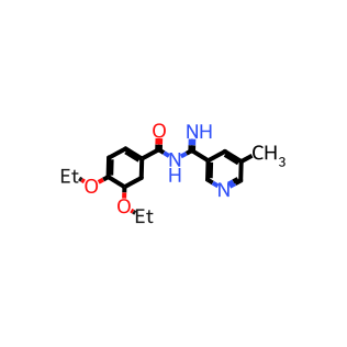 CCOC1=CC=C(C(=O)NC(=N)c2cncc(C)c2)CC1OCC